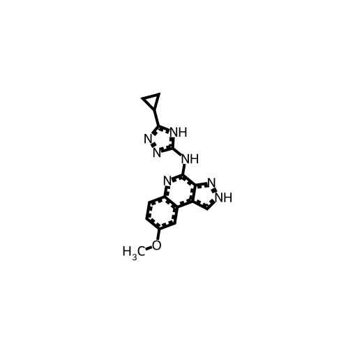 COc1ccc2nc(Nc3nnc(C4CC4)[nH]3)c3n[nH]cc3c2c1